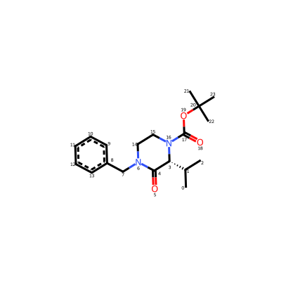 CC(C)[C@@H]1C(=O)N(Cc2ccccc2)CCN1C(=O)OC(C)(C)C